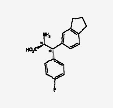 N[C@H](C(=O)O)[C@@H](c1ccc(F)cc1)c1ccc2c(c1)CCC2